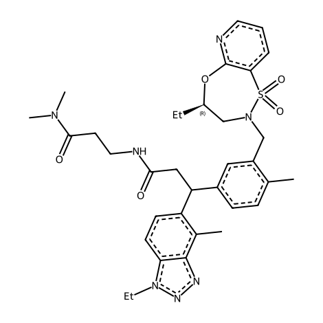 CC[C@@H]1CN(Cc2cc(C(CC(=O)NCCC(=O)N(C)C)c3ccc4c(nnn4CC)c3C)ccc2C)S(=O)(=O)c2cccnc2O1